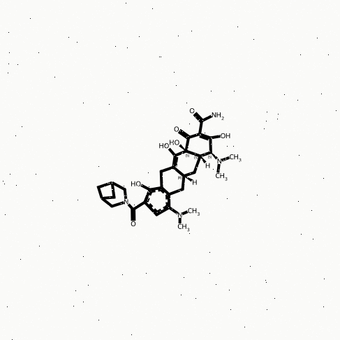 CN(C)c1cc(C(=O)N2CC3CC(C3)C2)c(O)c2c1C[C@H]1C[C@H]3[C@H](N(C)C)C(O)=C(C(N)=O)C(=O)[C@@]3(O)C(O)=C1C2